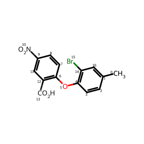 Cc1ccc(Oc2ccc([N+](=O)[O-])cc2C(=O)O)c(Br)c1